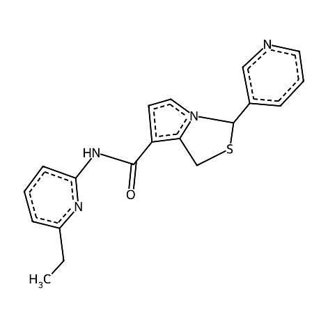 CCc1cccc(NC(=O)c2ccn3c2CSC3c2cccnc2)n1